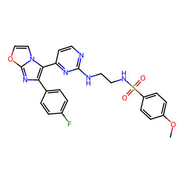 COc1ccc(S(=O)(=O)NCCNc2nccc(-c3c(-c4ccc(F)cc4)nc4occn34)n2)cc1